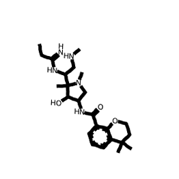 CCC(=N)NC(CNC)C1(C)C(O)C(NC(=O)c2cccc3c2OCCC3(C)C)CN1C